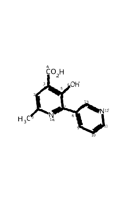 Cc1cc(C(=O)O)c(O)c(-c2cccnc2)n1